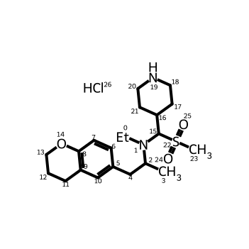 CCN(C(C)Cc1ccc2c(c1)CCCO2)C(C1CCNCC1)S(C)(=O)=O.Cl